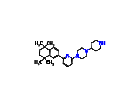 CC1(C)CCC(C)(C)c2cc(-c3cccc(N4CCN(C5CCNCC5)CC4)n3)ccc21